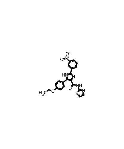 CCOc1ccc(-c2[nH]c(-c3cccc([N+](=O)[O-])c3)nc2C(=O)Nc2nccs2)cc1